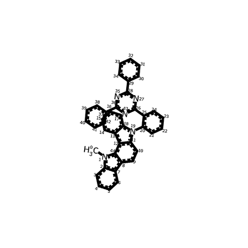 Cn1c2ccccc2c2ccc3c(c4ccccc4n3-c3ccccc3-c3nc(-c4ccccc4)nc(-c4ccccc4)n3)c21